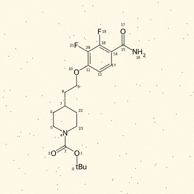 CC(C)(C)OC(=O)N1CCC(CCOc2ccc(C(N)=O)c(F)c2F)CC1